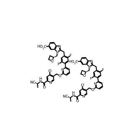 C[C@@H](C#N)NC(=O)c1cc(Cl)c(COc2cccc(-c3cc(F)c(Cc4nc5ccc(C(=O)O)cc5n4C[C@@H]4CCO4)cc3F)n2)cn1.C[C@@H](C#N)NC(=O)c1cc(Cl)c(COc2cccc(-c3cc(F)c(Cc4nc5ccc(C(=O)O)cc5n4C[C@@H]4CCO4)cc3F)n2)cn1